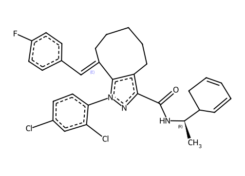 C[C@@H](NC(=O)c1nn(-c2ccc(Cl)cc2Cl)c2c1CCCCC/C2=C\c1ccc(F)cc1)C1C=CC=CC1